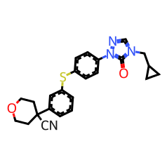 N#CC1(c2cccc(Sc3ccc(-n4ncn(CC5CC5)c4=O)cc3)c2)CCOCC1